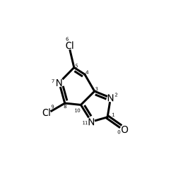 O=C1N=c2cc(Cl)nc(Cl)c2=N1